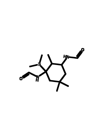 CC1C(NC=O)CC(C)(C)C[C]1(NC=O)[Ti]([CH3])[CH3]